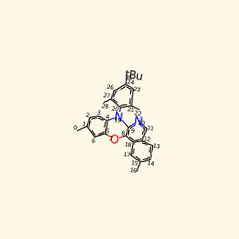 Cc1ccc2c(c1)Oc1c(ncc3ccc(C)cc13)N2c1c(C)cc(C(C)(C)C)cc1C